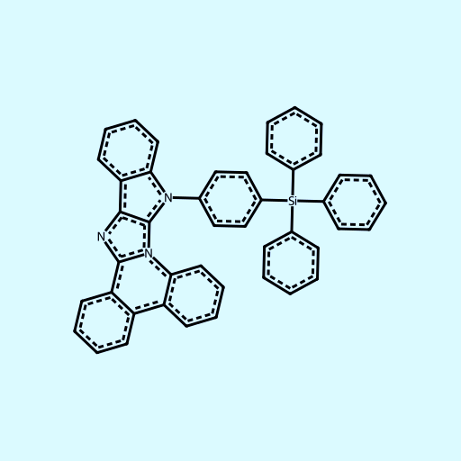 c1ccc([Si](c2ccccc2)(c2ccccc2)c2ccc(-n3c4ccccc4c4nc5c6ccccc6c6ccccc6n5c43)cc2)cc1